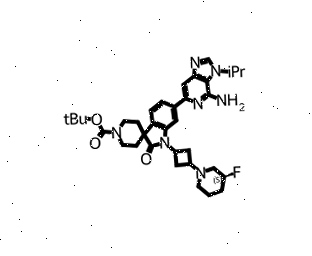 CC(C)n1cnc2cc(-c3ccc4c(c3)N(C3CC(N5CCC[C@H](F)C5)C3)C(=O)C43CCN(C(=O)OC(C)(C)C)CC3)nc(N)c21